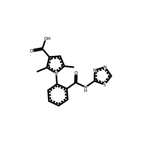 Cc1cc(C(=O)O)c(C)n1-c1ccccc1C(=O)Nc1nncs1